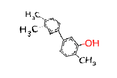 Cc1ccc(-c2ccc(C)c(O)c2)cc1C